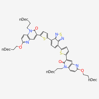 CCCCCCCCCCCCOc1ccc2c(cc(-c3ccc(-c4ccc(-c5ccc(-c6cc7nc(OCCCCCCCCCCCC)ccc7n(CCCCCCCCCCCC)c6=O)s5)c5nsnc45)s3)c(=O)n2CCCCCCCCCCCC)n1